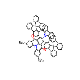 CC(C)(C)c1ccc2c(c1)c(=O)c1cc(-n3c4c(-c5cccc6c5C5(c7ccccc7-c7ccccc75)c5ccccc5-6)cccc4c4cccc(-c5cccc6c5C5(c7ccccc7-c7ccccc75)c5ccccc5-6)c43)cc3c(=O)c4cc(C(C)(C)C)ccc4n2c13